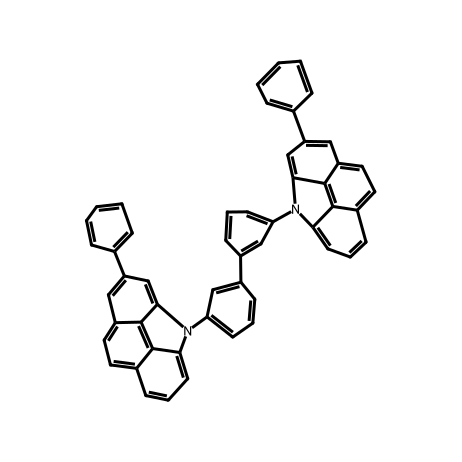 c1ccc(-c2cc3ccc4cccc5c4c3c(c2)n5-c2cccc(-c3cccc(-n4c5cccc6ccc7cc(-c8ccccc8)cc4c7c65)c3)c2)cc1